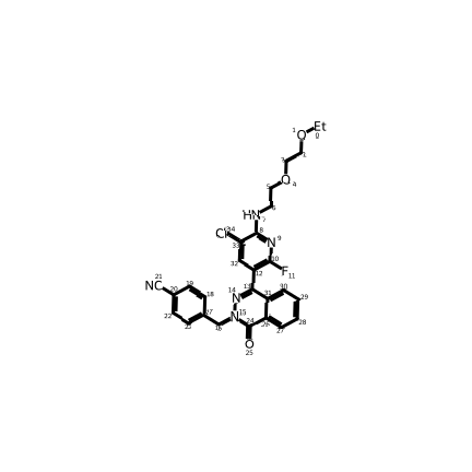 CCOCCOCCNc1nc(F)c(-c2nn(Cc3ccc(C#N)cc3)c(=O)c3ccccc23)cc1Cl